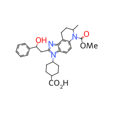 COC(=O)N1c2ccc3c(nc(CC(O)c4ccccc4)n3C3CCC(C(=O)O)CC3)c2CCC1C